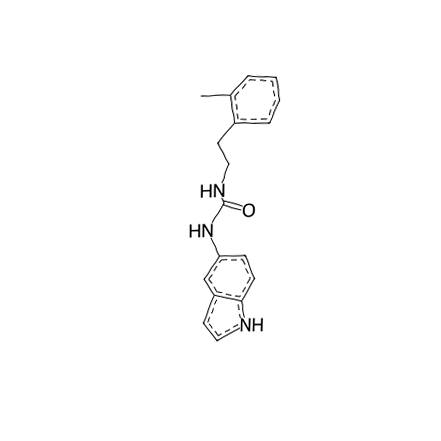 Cc1ccccc1CCNC(=O)Nc1ccc2[nH]ccc2c1